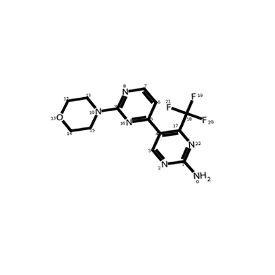 Nc1ncc(-c2ccnc(N3CCOCC3)n2)c(C(F)(F)F)n1